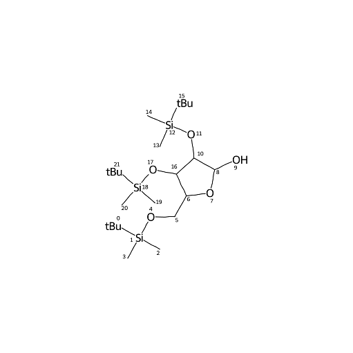 CC(C)(C)[Si](C)(C)OCC1OC(O)C(O[Si](C)(C)C(C)(C)C)C1O[Si](C)(C)C(C)(C)C